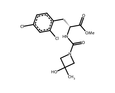 COC(=O)[C@@H](Cc1ccc(Cl)cc1Cl)NC(=O)N1CC(C)(O)C1